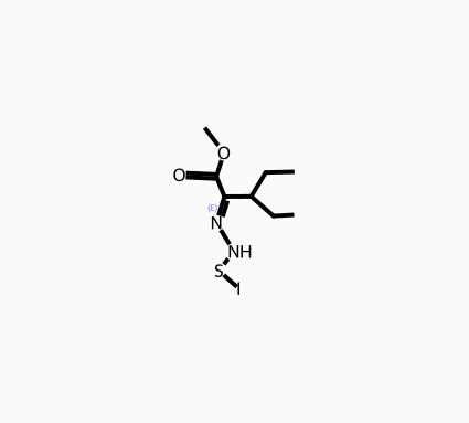 CCC(CC)/C(=N\NSI)C(=O)OC